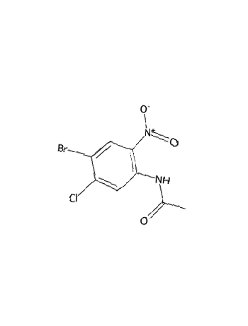 CC(=O)Nc1cc(Cl)c(Br)cc1[N+](=O)[O-]